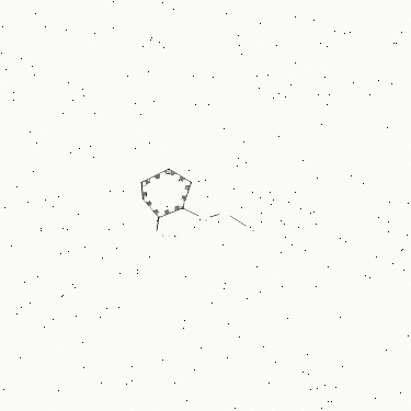 COc1ccccc1[SiH2]O[SiH3]